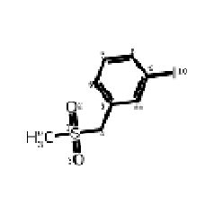 CS(=O)(=O)Cc1cccc(I)c1